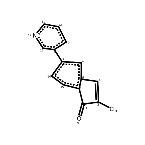 O=C1C(Cl)=Cc2cc(-c3cccnc3)ccc21